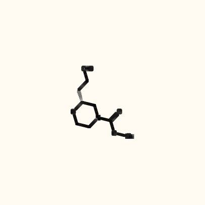 CC(C)(C)OC(=O)N1CCO[C@H](CCC=O)C1